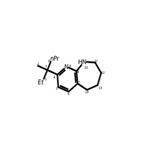 CCCC(C)(CC)c1ccc2c(n1)NCCCC2